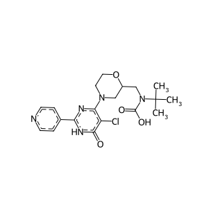 CC(C)(C)N(CC1CN(c2nc(-c3ccncc3)[nH]c(=O)c2Cl)CCO1)C(=O)O